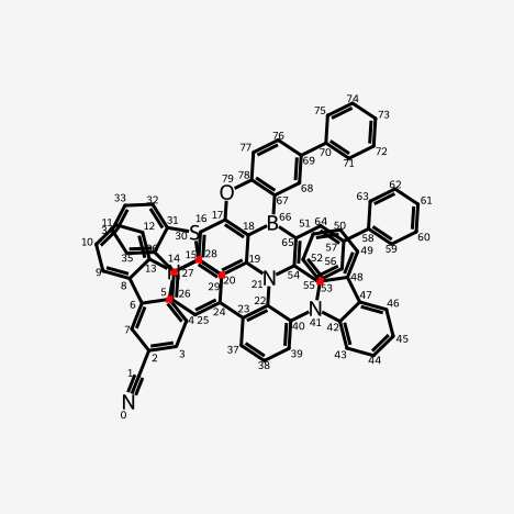 N#Cc1ccc2c(c1)c1ccccc1n2-c1cc2c3c(c1)N(c1c(-c4ccc5c(c4)sc4ccccc45)cccc1-n1c4ccccc4c4ccccc41)c1ccc(-c4ccccc4)cc1B3c1cc(-c3ccccc3)ccc1O2